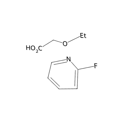 CCOCC(=O)O.Fc1ccccn1